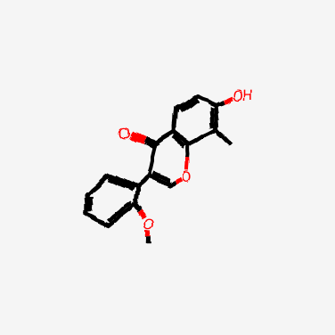 COc1ccccc1-c1coc2c(C)c(O)ccc2c1=O